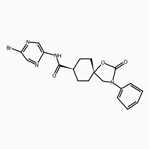 O=C1O[C@]2(CC[C@H](C(=O)Nc3cnc(Br)cn3)CC2)CN1c1ccccc1